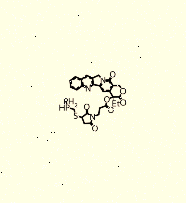 CC[C@@]1(OC(=O)CCN2C(=O)CC(SCPP)C2=O)C(=O)OCc2c1cc1n(c2=O)Cc2cc3ccccc3nc2-1